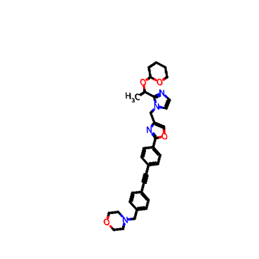 CC(OC1CCCCO1)c1nccn1Cc1coc(-c2ccc(C#Cc3ccc(CN4CCOCC4)cc3)cc2)n1